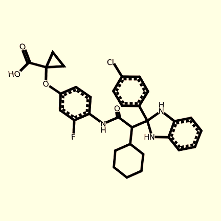 O=C(Nc1ccc(OC2(C(=O)O)CC2)cc1F)C(C1CCCCC1)C1(c2ccc(Cl)cc2)Nc2ccccc2N1